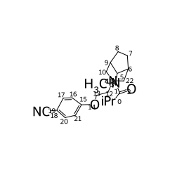 CC(C)C(=O)N(C)C1C2CCC1CN(CCOc1ccc(C#N)cc1)C2